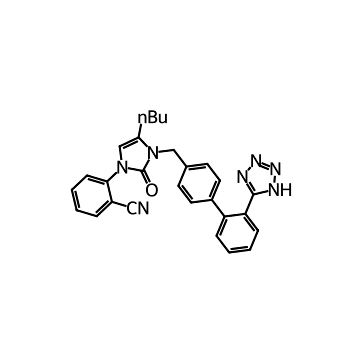 CCCCc1cn(-c2ccccc2C#N)c(=O)n1Cc1ccc(-c2ccccc2-c2nnn[nH]2)cc1